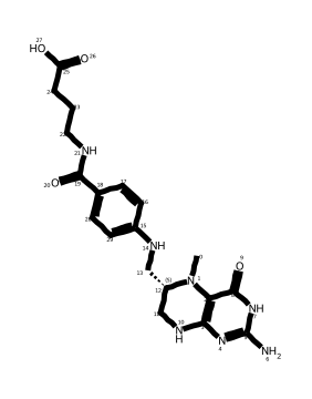 CN1c2c(nc(N)[nH]c2=O)NC[C@@H]1CNc1ccc(C(=O)NCCCC(=O)O)cc1